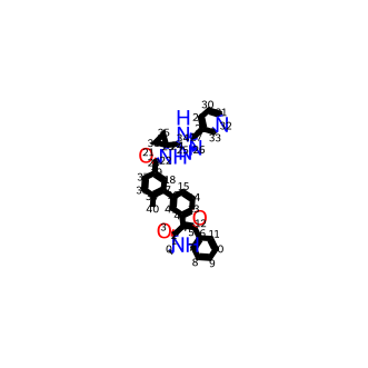 CNC(=O)c1c(-c2ccccc2)oc2ccc(-c3cc(C(=O)NC4(c5nnc(-c6cccnc6)[nH]5)CC4)ccc3C)cc12